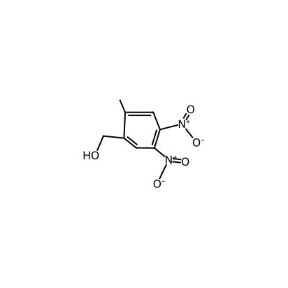 Cc1cc([N+](=O)[O-])c([N+](=O)[O-])cc1CO